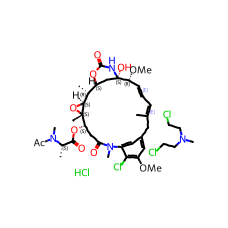 CN(CCCl)CCCl.COc1cc2cc(c1Cl)N(C)C(=O)C[C@H](OC(=O)[C@H](C)N(C)C(C)=O)[C@]1(C)O[C@H]1[C@H](C)[C@@H]1C[C@@](O)(NC(=O)O1)[C@H](OC)/C=C/C=C(\C)C2.Cl